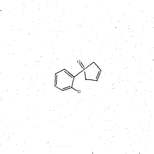 O=P1(c2ccccc2Cl)CC=CC1